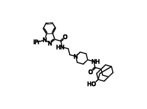 CC(C)n1nc(C(=O)NCCN2CCC(NC(=O)C34CC5CC(CC(O)(C5)C3)C4)CC2)c2ccccc21